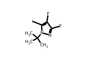 CC(C)(C)n1nc(F)c(F)c1I